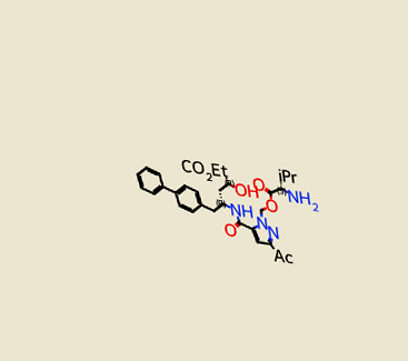 CCOC(=O)[C@H](O)C[C@@H](Cc1ccc(-c2ccccc2)cc1)NC(=O)c1cc(C(C)=O)nn1COC(=O)[C@@H](N)C(C)C